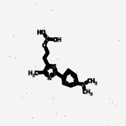 Cc1nc(-c2ccc(N(C)C)cc2)sc1CCON(O)O